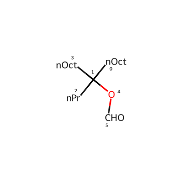 CCCCCCCCC(CCC)(CCCCCCCC)OC=O